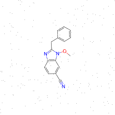 COn1c(Cc2ccccc2)nc2ccc(C#N)cc21